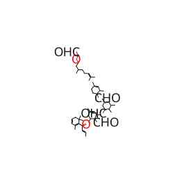 CC(C)=CCCC(C)CCOCC=O.CC1=CC(C)C(C)C(C=O)C1.CC1=CC(C)C(C=O)C(C)C1.CC1=CC(C)C(C=O)CC1.CC=CC(=O)C1=C(C)C=CCC1(C)C